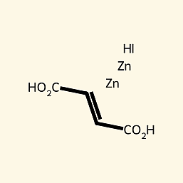 I.O=C(O)C=CC(=O)O.[Zn].[Zn]